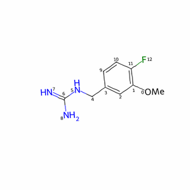 COc1cc(CNC(=N)N)ccc1F